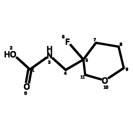 O=C(O)NCC1(F)CCCOC1